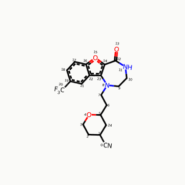 N#CC1CCOC(CCN2CCNC(=O)c3oc4ccc(C(F)(F)F)cc4c32)C1